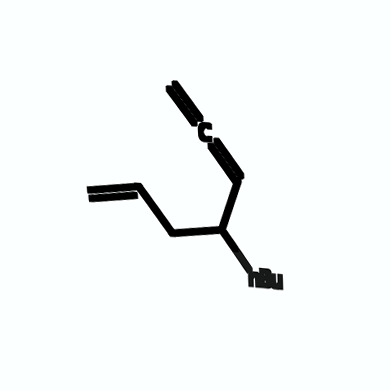 C=C=CC(CC=C)CCCC